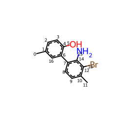 Cc1ccc(O)c(-c2ccc(C)c(Br)c2N)c1